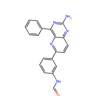 Nc1nc(-c2ccccc2)c2nc(-c3cccc(NC=O)c3)ccc2n1